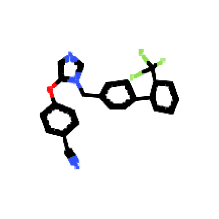 N#Cc1ccc(Oc2cncn2Cc2ccc(-c3ccccc3C(F)(F)F)cc2)cc1